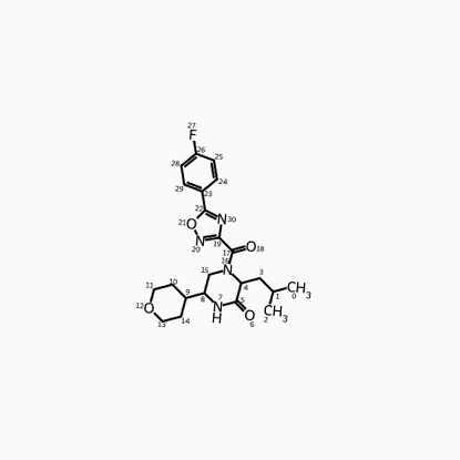 CC(C)CC1C(=O)NC(C2CCOCC2)CN1C(=O)c1noc(-c2ccc(F)cc2)n1